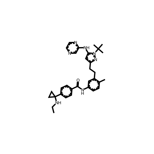 CCNC1(c2ccc(C(=O)Nc3ccc(C)c(CCc4cc(Nc5cnccn5)n(C(C)(C)C)n4)c3)cc2)CC1